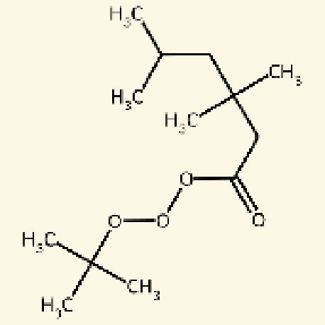 CC(C)CC(C)(C)CC(=O)OOOC(C)(C)C